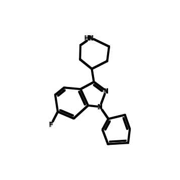 Fc1ccc2c(C3CCNCC3)nn(-c3ccccc3)c2c1